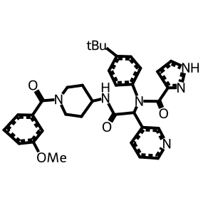 COc1cccc(C(=O)N2CCC(NC(=O)C(c3cccnc3)N(C(=O)c3cc[nH]n3)c3ccc(C(C)(C)C)cc3)CC2)c1